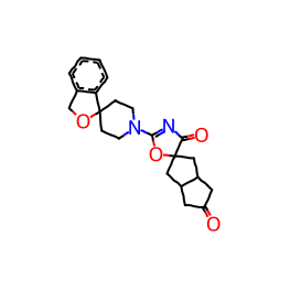 O=C1CC2CC3(CC2C1)OC(N1CCC2(CC1)OCc1ccccc12)=NC3=O